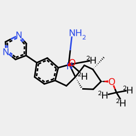 [2H]C([2H])([2H])O[C@H]1CC[C@@]2(Cc3ccc(-c4cncnc4)cc3[C@]23N=C(N)OC3([2H])[2H])C[C@@H]1C